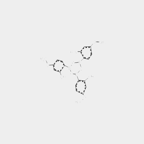 COc1ccc(B2OB(c3ccc(OC)cc3C)OB(c3ccc(OC)cc3C)O2)c(C)c1